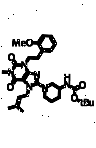 COc1ccccc1CCn1c(=O)n(C)c(=O)c2c1nc(N1CCCC(NC(=O)OC(C)(C)C)C1)n2CC=C(C)C